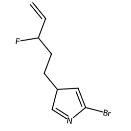 C=CC(F)CCC1C=NC(Br)=C1